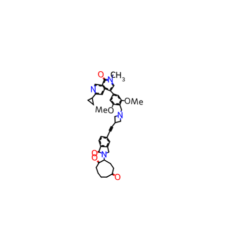 COc1cc(-c2cn(C)c(=O)c3cnc(C4CC4)cc23)cc(OC)c1CN1CC(C#Cc2ccc3c(c2)CN(C2CCC(=O)CCCCC2=O)C3=O)C1